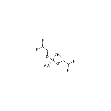 C[Si](C)(OCC(F)F)OCC(F)F